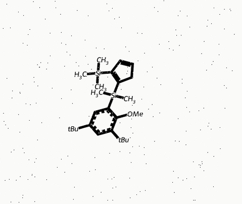 COc1c(C(C)(C)C)cc(C(C)(C)C)cc1[Si](C)(C)C1=C([Si](C)(C)C)C=CC1